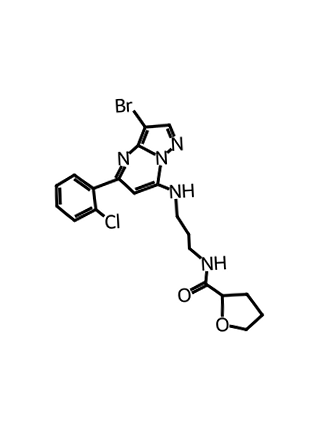 O=C(NCCCNc1cc(-c2ccccc2Cl)nc2c(Br)cnn12)C1CCCO1